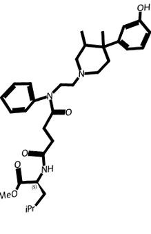 COC(=O)[C@H](CC(C)C)NC(=O)CCC(=O)N(CCN1CCC(C)(c2cccc(O)c2)C(C)C1)c1ccccc1